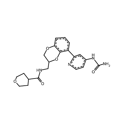 NC(=O)Nc1ccnc(-c2cccc3c2OC(CNC(=O)C2CCOCC2)CO3)c1